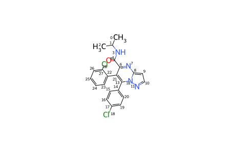 CC(C)NC(=O)c1nc2ccnn2c(-c2ccc(Cl)cc2)c1-c1ccccc1Cl